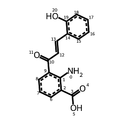 Nc1c(C(=O)O)cccc1C(=O)C=Cc1ccccc1O